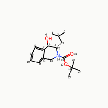 CC(C)C[C@H]1C(O)c2ccccc2CN1C(=O)OC(C)(C)C